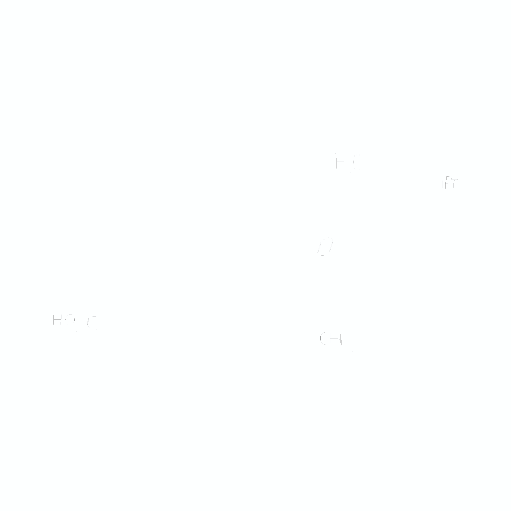 CC(C)C(C)COC(C)C1CCC(C(=O)O)CC1